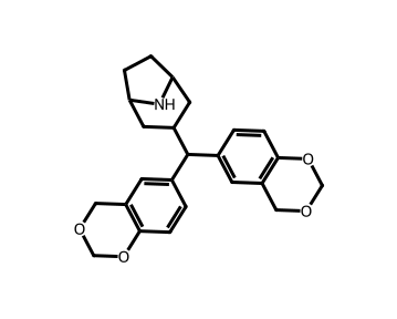 c1cc2c(cc1C(c1ccc3c(c1)COCO3)C1CC3CCC(C1)N3)COCO2